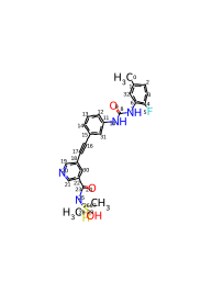 Cc1ccc(F)c(NC(=O)Nc2cccc(C#Cc3cncc(C(=O)N=[SH](C)(C)O)c3)c2)c1